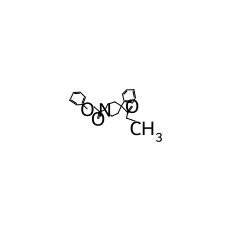 CCCC(=O)C1(c2ccccc2)CCN(C(=O)COc2ccccc2)CC1